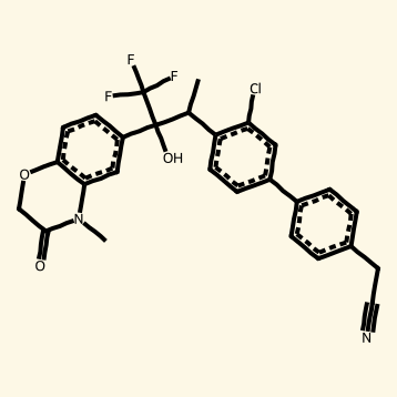 CC(c1ccc(-c2ccc(CC#N)cc2)cc1Cl)C(O)(c1ccc2c(c1)N(C)C(=O)CO2)C(F)(F)F